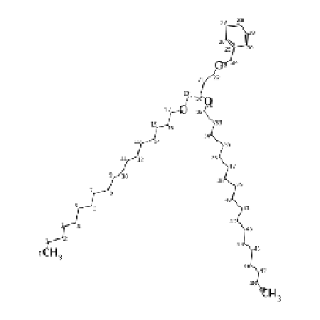 CCCCCCCCCCCCCCCCCCOC[C@H](CCOCc1ccccc1)OCCCCCCCCCCCCCCCCCC